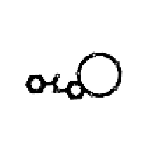 O=C(Nc1ccc2c(c1)OCCOCCOCCOCCO2)c1ccccc1